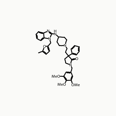 COc1cc(CN2CCC(CCN3CCC(Nc4nc5ccccc5n4Cc4ccc(C)o4)CC3)(c3ccccc3)C2=O)cc(OC)c1OC